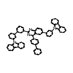 c1ccc(-c2ccc(-c3nc(-c4cccc(-c5cccc(-n6c7ccccc7c7ccccc76)c5)c4)nc4ccc(-c5cccc(-n6c7ccccc7c7ccccc76)c5)cc34)cc2)cc1